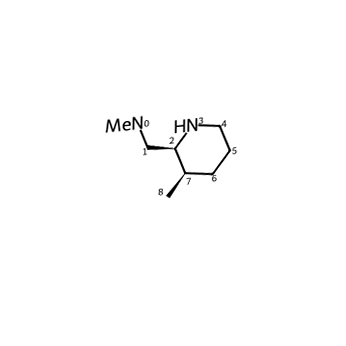 CNC[C@H]1NCCC[C@H]1C